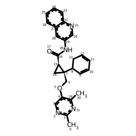 Cc1ncc(OC[C@@]2(C3C=CC=CC3)C[C@H]2C(=O)Nc2cnc3ccccc3c2)c(C)n1